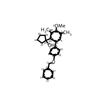 COc1c(C)cc(-c2ccc(OCc3ccccc3)cc2)c(C2(O)CCCC2)c1C